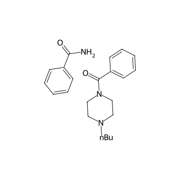 CCCCN1CCN(C(=O)c2ccccc2)CC1.NC(=O)c1ccccc1